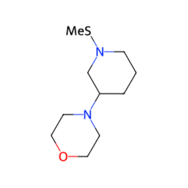 CSN1CCCC(N2CCOCC2)C1